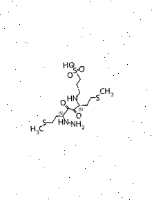 CSCC[C@H](NN)C(=O)C(=O)[C@H](CCSC)NCCCS(=O)(=O)O